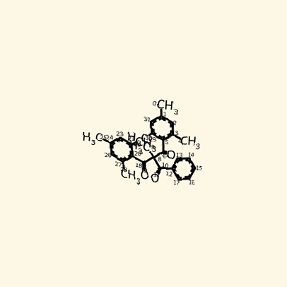 Cc1cc(C)c(C(=O)C(C)(C(=O)c2ccccc2)C(=O)c2c(C)cc(C)cc2C)c(C)c1